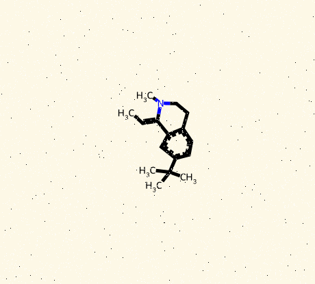 C/C=C1/c2cc(C(C)(C)C)ccc2CCN1C